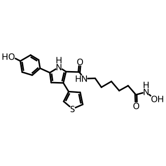 O=C(CCCCCNC(=O)c1[nH]c(-c2ccc(O)cc2)cc1-c1ccsc1)NO